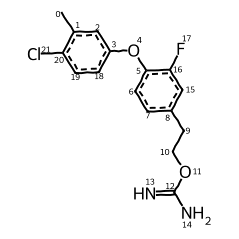 Cc1cc(Oc2ccc(CCOC(=N)N)cc2F)ccc1Cl